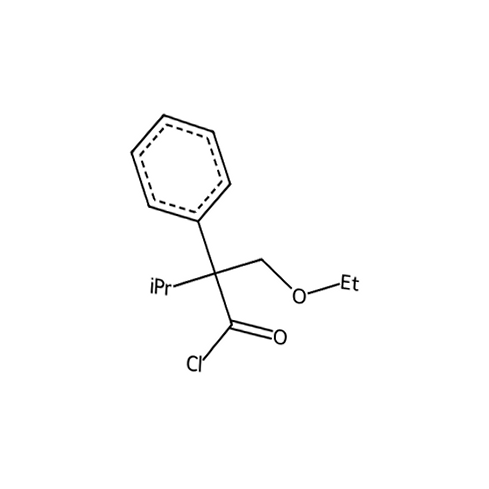 CCOCC(C(=O)Cl)(c1ccccc1)C(C)C